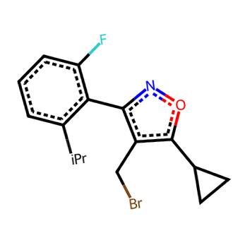 CC(C)c1cccc(F)c1-c1noc(C2CC2)c1CBr